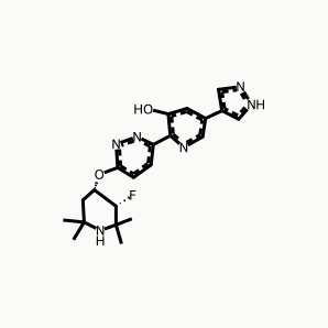 CC1(C)C[C@H](Oc2ccc(-c3ncc(-c4cn[nH]c4)cc3O)nn2)[C@H](F)C(C)(C)N1